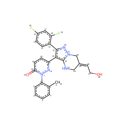 Cc1ccccc1-n1nc(-c2c(-c3ccc(F)cc3F)nn3c2NCC(=CCO)C3)ccc1=O